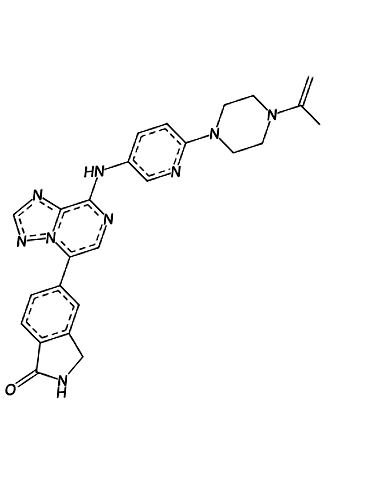 C=C(C)N1CCN(c2ccc(Nc3ncc(-c4ccc5c(c4)CNC5=O)n4ncnc34)cn2)CC1